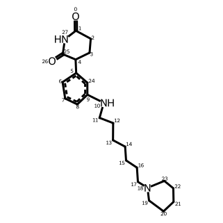 O=C1CCC(c2cccc(NCCCCCCCN3CCCCC3)c2)C(=O)N1